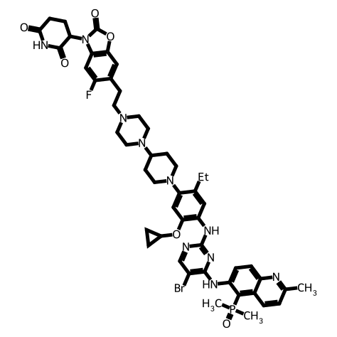 CCc1cc(Nc2ncc(Br)c(Nc3ccc4nc(C)ccc4c3P(C)(C)=O)n2)c(OC2CC2)cc1N1CCC(N2CCN(CCc3cc4oc(=O)n(C5CCC(=O)NC5=O)c4cc3F)CC2)CC1